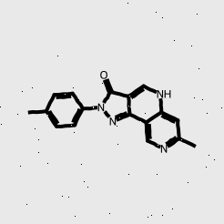 Cc1ccc(-n2nc3c4cnc(C)cc4[nH]cc-3c2=O)cc1